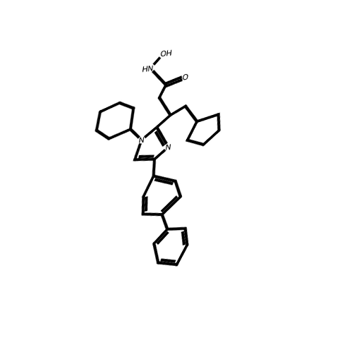 O=C(CC(CC1CCCC1)c1nc(-c2ccc(-c3ccccc3)cc2)cn1C1CCCCC1)NO